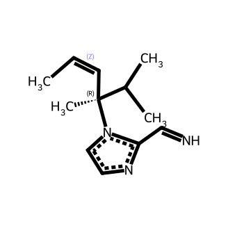 C/C=C\[C@@](C)(C(C)C)n1ccnc1C=N